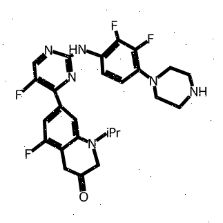 CC(C)N1CC(=O)Cc2c(F)cc(-c3nc(Nc4ccc(N5CCNCC5)c(F)c4F)ncc3F)cc21